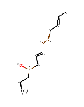 CC=CCSSC=CC[S+]([O-])CCC(=O)O